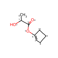 CC(O)C(=O)OC1=CCCC1